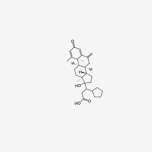 C=C1C[C@@H]2[C@@H](CC[C@@]3(C)[C@H]2CCC3(O)C(CC(=O)O)C2CCCC2)[C@@]2(C)C(C)=CC(=O)C=C12